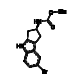 CC(C)(C)OC(=O)N[C@@H]1Cc2[nH]c3ccc(Br)cc3c2C1